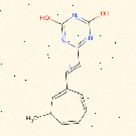 CC1C=CC=CC(/C=C/c2nc(O)nc(O)n2)=C1